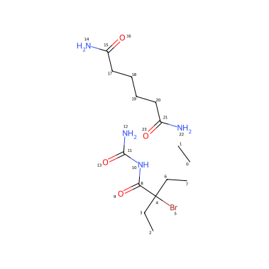 CC.CCC(Br)(CC)C(=O)NC(N)=O.NC(=O)CCCCC(N)=O